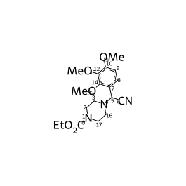 CCOC(=O)N1CCN(C(C#N)c2ccc(OC)c(OC)c2OC)CC1